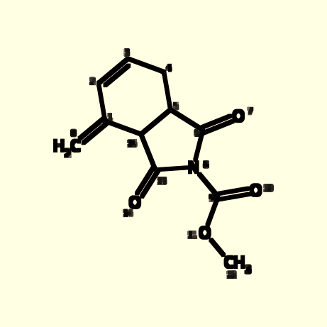 C=C1C=CCC2C(=O)N(C(=O)OC)C(=O)C12